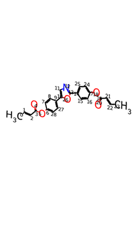 C/C=C/C(=O)Oc1ccc(-c2cnc(-c3ccc(OC(=O)/C=C/C)cc3)o2)cc1